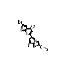 Cc1cn2cc(-c3cc(Cl)c4cc(Br)cnc4n3)cc(F)c2n1